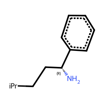 CC(C)CC[C@@H](N)c1ccccc1